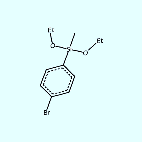 CCO[Si](C)(OCC)c1ccc(Br)cc1